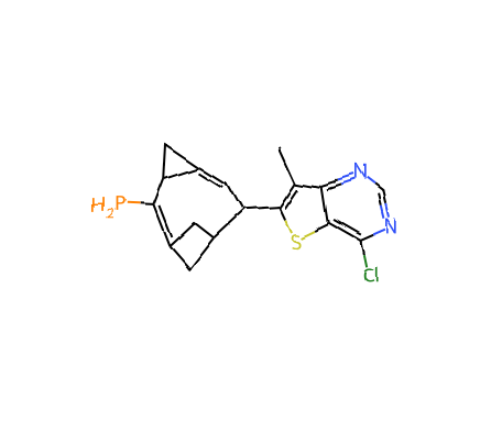 Cc1c(C2/C=C3/CC3C(P)=C3CC2C3)sc2c(Cl)ncnc12